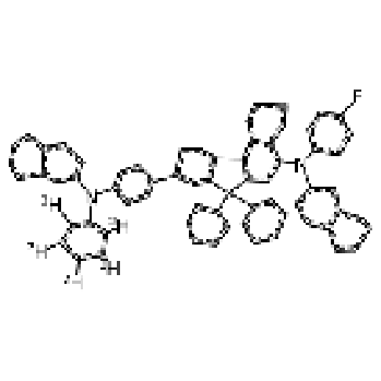 [2H]c1c([2H])c([2H])c(N(c2ccc(-c3ccc4c(c3)C(c3ccccc3)(c3ccccc3)c3cc(N(c5ccc(F)cc5)c5ccc6ccccc6c5)c5ccccc5c3-4)cc2)c2ccc3ccccc3c2)c([2H])c1[2H]